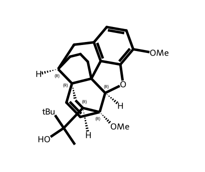 COc1ccc2c3c1O[C@@H]1C34CCC[C@H](C2)[C@]42C=C[C@@]1(OC)[C@@H](C(C)(O)C(C)(C)C)C2